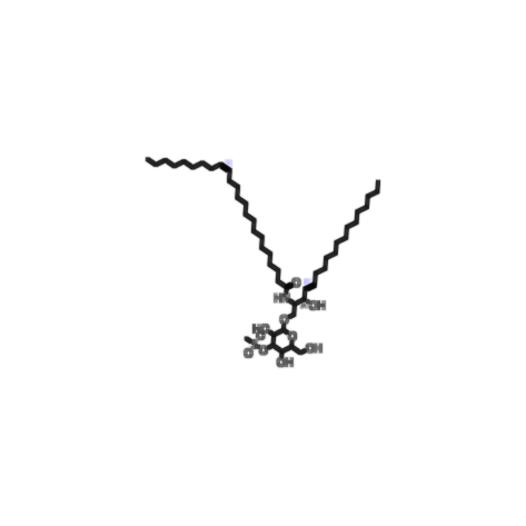 CCCCCCCC/C=C\CCCCCCCCCCCCCC(=O)NC(COC1OC(CO)C(O)C(OS(C)(=O)=O)C1O)[C@H](O)/C=C/CCCCCCCCCCCCC